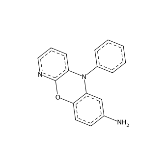 Nc1ccc2c(c1)N(c1ccccc1)c1cccnc1O2